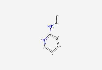 C[CH]Nc1ccccn1